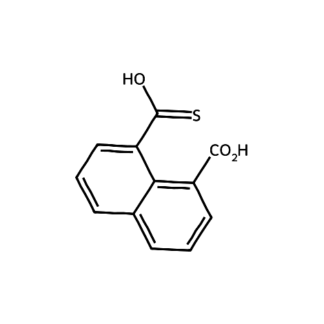 O=C(O)c1cccc2cccc(C(O)=S)c12